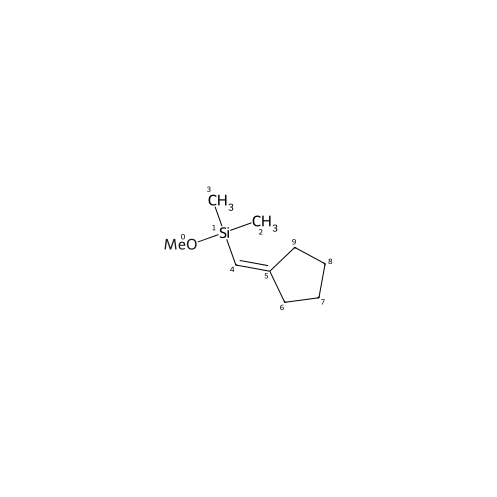 CO[Si](C)(C)C=C1CCCC1